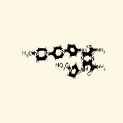 CN1CCN(C2CCN(c3ccc(Nc4nc(N[C@@H]5CCN(C(=O)O)C5)c(C(N)=O)nc4C(N)=O)cc3)CC2)CC1